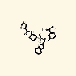 N=C(N)c1cccc(CC(NS(=O)(=O)c2cccc(NC(=O)c3cnco3)c2)c2nc3ccccc3s2)c1